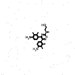 Cc1c(N)ccc(-c2nnc(N(C)CCO)nc2-c2ccc(N)c(C)c2C)c1C